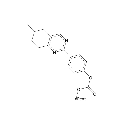 CCCCCOC(=O)Oc1ccc(-c2ncc3c(n2)CCC(C)C3)cc1